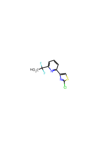 O=C(O)C(F)(F)c1cccc(-c2csc(Cl)n2)n1